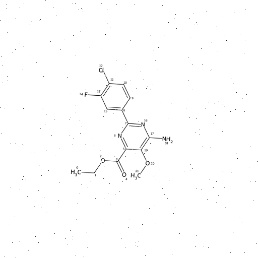 CCOC(=O)c1nc(-c2ccc(Cl)c(F)c2)nc(N)c1OC